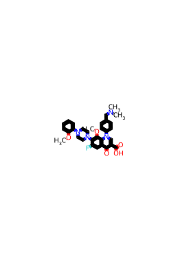 COc1ccccc1N1CCN(c2c(F)cc3c(=O)c(C(=O)O)cn(-c4ccc(CN(C)C)cc4)c3c2OC)CC1